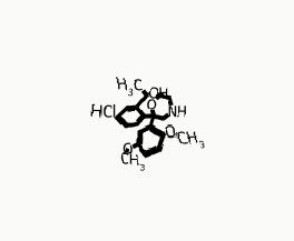 COc1ccc(OC)c(C2(c3ccccc3C(C)O)CNCCO2)c1.Cl